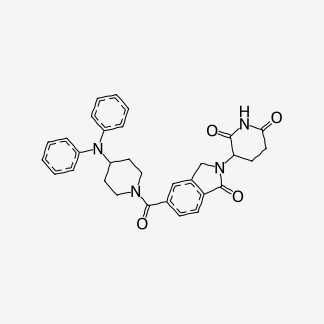 O=C1CCC(N2Cc3cc(C(=O)N4CCC(N(c5ccccc5)c5ccccc5)CC4)ccc3C2=O)C(=O)N1